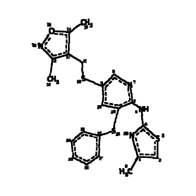 Cc1csc(Nc2ncc(SCc3c(C)noc3C)cc2Sc2ccccc2)n1